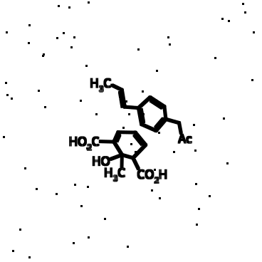 CC1(O)C(C(=O)O)=CC=CC1C(=O)O.CC=Cc1ccc(CC(C)=O)cc1